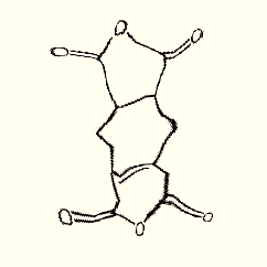 O=C1OC(=O)C2=C1CC1C(=O)OC(=O)C1C2